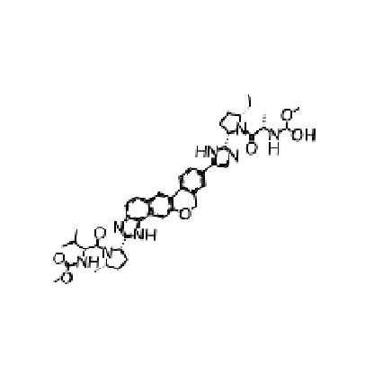 CC[C@H]1CC[C@@H](c2ncc(-c3ccc4c(c3)COc3cc5c(ccc6nc([C@@H]7CC[C@H](C)N7C(=O)[C@@H](NC(=O)OC)C(C)C)[nH]c65)cc3-4)[nH]2)N1C(=O)[C@H](C)NC(O)OC